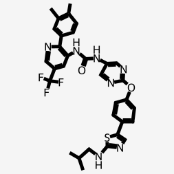 Cc1ccc(-c2ncc(C(F)(F)F)cc2NC(=O)Nc2cnc(Oc3ccc(-c4cnc(NCC(C)C)s4)cc3)nc2)cc1C